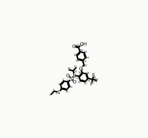 CCSc1ccc(S(=O)(=O)N(c2ccc(C(F)(F)F)cc2OCc2ccc(C(=O)O)cc2)C(C)C)cc1